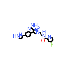 Nc1nc2cc(-c3cc[nH]n3)ccc2c2cn(CCNC(=O)c3cc(F)ccn3)nc12